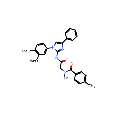 COc1ccc(-n2cc(-c3ccccc3)nc2NC(=O)CN(C(=O)c2ccc(C)cc2)C(C)C)cc1OC